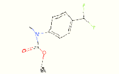 CN(C(=O)OC(C)(C)C)c1ccc(C(F)F)cc1